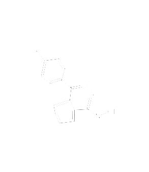 O=C(NO)c1ccccc1C(=O)c1ccc(Cl)cc1